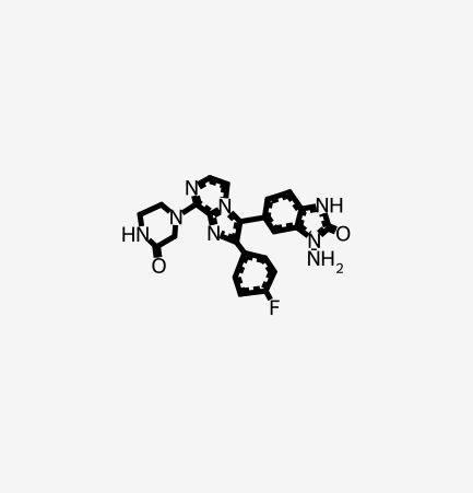 Nn1c(=O)[nH]c2ccc(-c3c(-c4ccc(F)cc4)nc4c(N5CCNC(=O)C5)nccn34)cc21